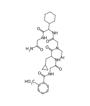 CC(=O)CN(CC(=O)NC(C(=O)NCC(N)=O)C1CCCCC1)C(=O)C(CC1CC1)NC(=O)CNC(=O)c1ccccc1C(=O)O